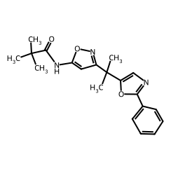 CC(C)(C)C(=O)Nc1cc(C(C)(C)c2cnc(-c3ccccc3)o2)no1